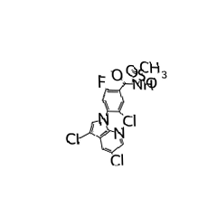 CS(=O)(=O)NC(=O)c1cc(Cl)c(-n2cc(Cl)c3cc(Cl)cnc32)cc1F